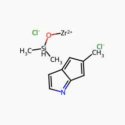 CC1=CC2=NC=CC2=C1.C[SiH](C)[O][Zr+2].[Cl-].[Cl-]